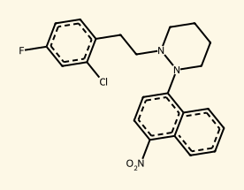 O=[N+]([O-])c1ccc(N2CCCCN2CCc2ccc(F)cc2Cl)c2ccccc12